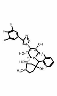 CN1CCC(O)(C(c2ncccc2C(F)(F)F)[SH]2C[C@H](O)[C@H](n3cc(-c4cc(F)c(F)c(F)c4)nn3)[C@@H](O)[C@H]2CO)CC1